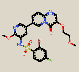 COCCOc1cnc2ccc(-c3cnc(OC)c(NS(=O)(=O)c4ccc(F)cc4Br)c3)cn2c1=O